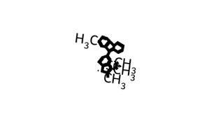 CC1=C2c3c(ccc(C4=C5C=CC=CC5c5ccc(C)cc54)c3[Si]2(C)C)[CH]1